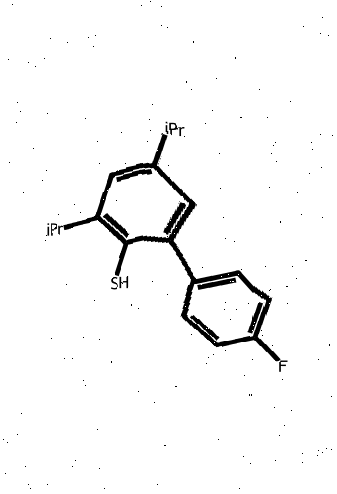 CC(C)c1cc(-c2ccc(F)cc2)c(S)c(C(C)C)c1